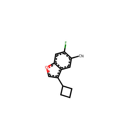 N#Cc1cc2c(C3CCC3)coc2cc1F